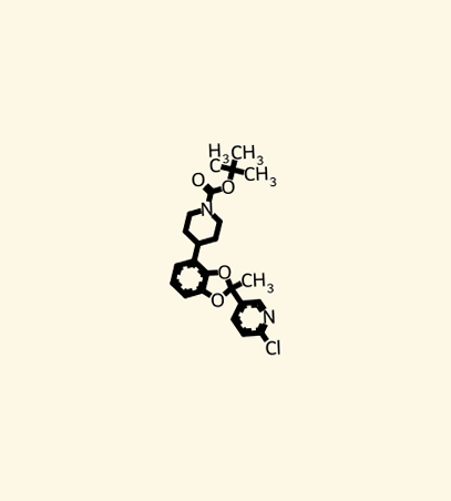 CC(C)(C)OC(=O)N1CCC(c2cccc3c2OC(C)(c2ccc(Cl)nc2)O3)CC1